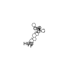 CC12CC[C@@](O)(C(F)(F)F)CC1CCC1C2CCC2(C)C1CC[C@H]2CC(CC1(O)CCCCC1)S(=O)(=O)c1ccccc1